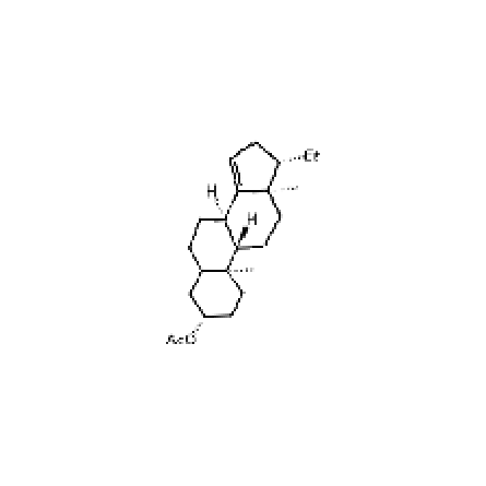 CC[C@H]1CC=C2[C@@H]3CCC4C[C@@H](OC(C)=O)CC[C@]4(C)[C@H]3CC[C@@]21C